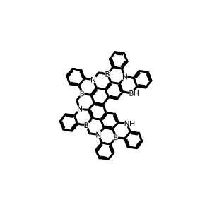 B1c2ccccc2N2c3ccccc3B3CN4c5ccccc5B5CN6c7ccccc7B7CN8c9ccccc9B9c%10ccccc%10Nc%10cc%11c(c7c6c6c5c4c4c3c2c1cc4c6%11)c8c%109